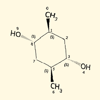 C[C@H]1C[C@H](O)[C@@H](C)C[C@@H]1O